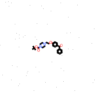 CC(C)(C)OC(=O)N1CCN(CCOc2ccc(C(=O)c3ccccc3)cc2)CC1